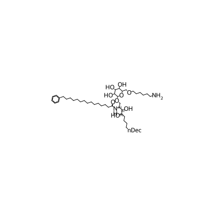 CCCCCCCCCCCCCC[C@@H](O)[C@@H](O)[C@H](COC1OC(COCCCCCCN)C(O)C(O)C1O)NC(=O)CCCCCCCCCCCCCCc1ccccc1